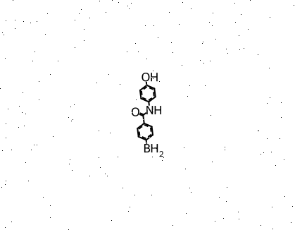 Bc1ccc(C(=O)Nc2ccc(O)cc2)cc1